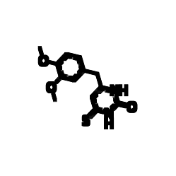 COc1ccc(Cc2cc(=S)[nH]c(=O)[nH]2)cc1OC